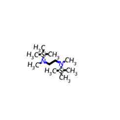 CN(CCN(C)[Si](C)(C)C)[Si](C)(C)C